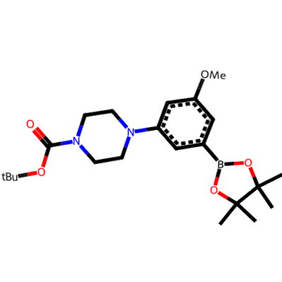 COc1cc(B2OC(C)(C)C(C)(C)O2)cc(N2CCN(C(=O)OC(C)(C)C)CC2)c1